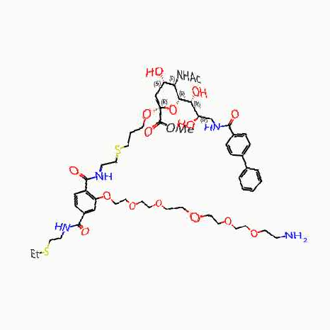 CCSCCNC(=O)c1ccc(C(=O)NCCSCCCO[C@]2(C(=O)OC)C[C@H](O)[C@@H](NC(C)=O)[C@H]([C@H](O)[C@H](O)CNC(=O)c3ccc(-c4ccccc4)cc3)O2)c(OCCOCCOCCOCCOCCOCCN)c1